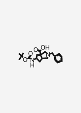 CC(C)(C)OC(=O)NC1CC2CN(Cc3ccccc3)CC2(C(=O)O)C1